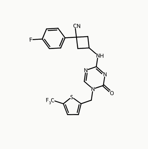 N#CC1(c2ccc(F)cc2)CC(Nc2ncn(Cc3ccc(C(F)(F)F)s3)c(=O)n2)C1